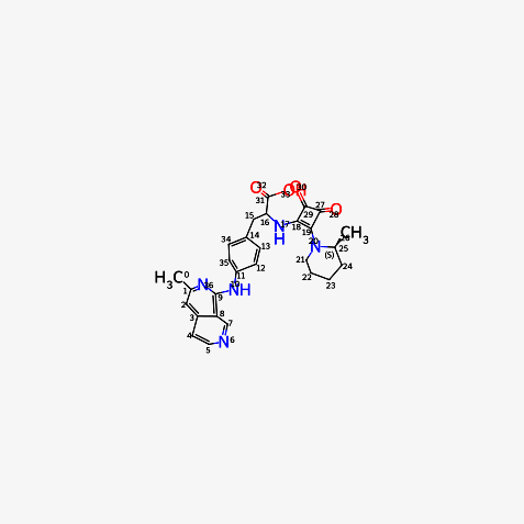 Cc1cc2ccncc2c(Nc2ccc(CC(Nc3c(N4CCCC[C@@H]4C)c(=O)c3=O)C(=O)O)cc2)n1